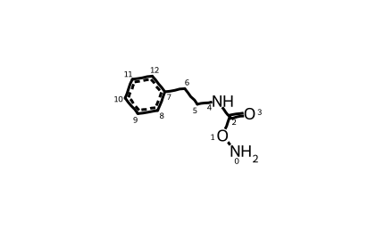 NOC(=O)NCCc1ccccc1